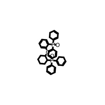 O=P(C1=CC=CCC1)(c1ccccc1)c1ccccc1OC1CCCCC1P(=O)(C1=CC=CCC1)c1ccccc1